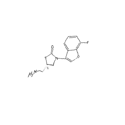 NC[C@H]1CN(c2coc3c(F)cccc23)C(=O)S1